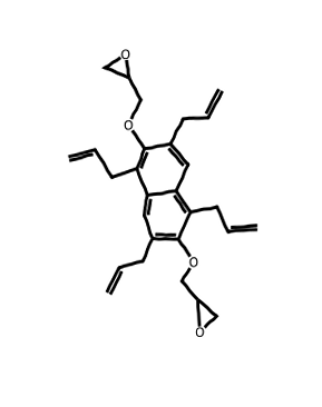 C=CCc1cc2c(CC=C)c(OCC3CO3)c(CC=C)cc2c(CC=C)c1OCC1CO1